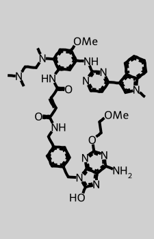 COCCOc1nc(N)c2nc(O)n(Cc3ccc(CNC(=O)/C=C/C(=O)Nc4cc(Nc5nccc(-c6cn(C)c7ccccc67)n5)c(OC)cc4N(C)CCN(C)C)cc3)c2n1